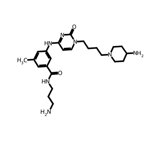 Cc1cc(Nc2ccn(CCCCN3CCC(N)CC3)c(=O)n2)cc(C(=O)NCCCN)c1